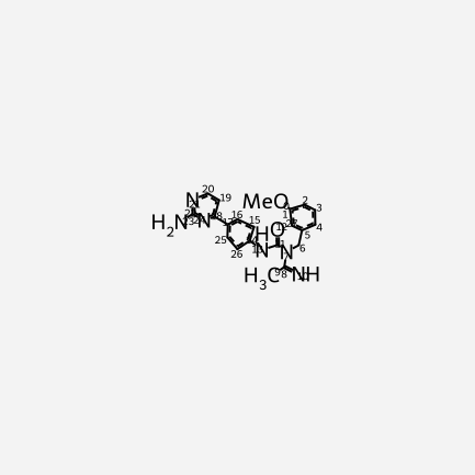 COc1cccc(CN(C(C)=N)C(=O)Nc2ccc(-c3ccnc(N)n3)cc2)c1